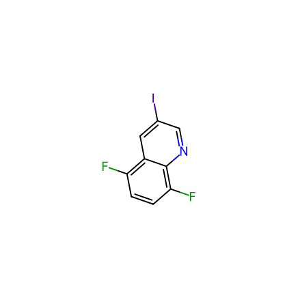 Fc1ccc(F)c2ncc(I)cc12